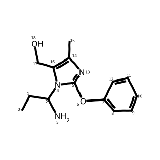 CCC(N)n1c(Oc2ccccc2)nc(C)c1CO